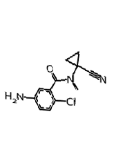 CN(C(=O)c1cc(N)ccc1Cl)C1(C#N)CC1